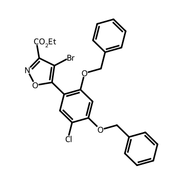 CCOC(=O)c1noc(-c2cc(Cl)c(OCc3ccccc3)cc2OCc2ccccc2)c1Br